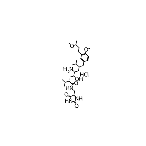 COc1ccc(C[C@@H](C[C@H](N)[C@@H](O)C[C@H](C(=O)NCC2NC(=O)NC2=O)C(C)C)C(C)C)cc1CCC(C)OC.Cl